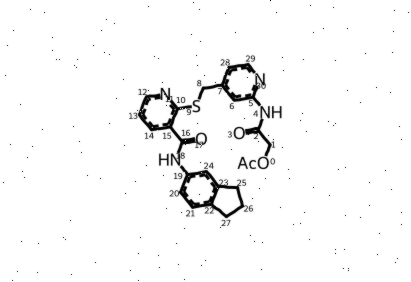 CC(=O)OCC(=O)Nc1cc(CSc2ncccc2C(=O)Nc2ccc3c(c2)CCC3)ccn1